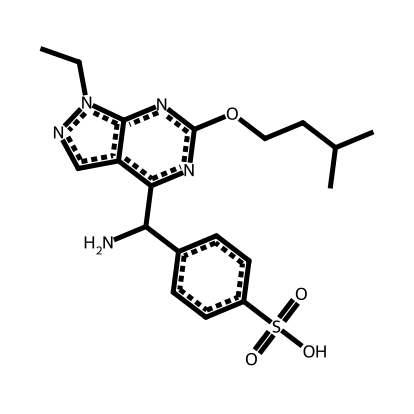 CCn1ncc2c(C(N)c3ccc(S(=O)(=O)O)cc3)nc(OCCC(C)C)nc21